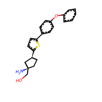 N[C@]1(CO)CC[C@H](c2ccc(-c3ccc(Oc4ccccc4)cc3)s2)C1